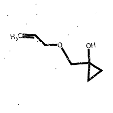 C=CCOCC1(O)CC1